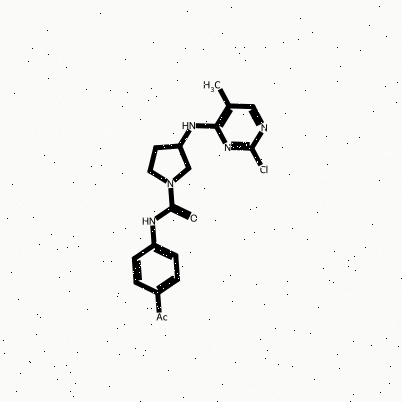 CC(=O)c1ccc(NC(=O)N2CCC(Nc3nc(Cl)ncc3C)C2)cc1